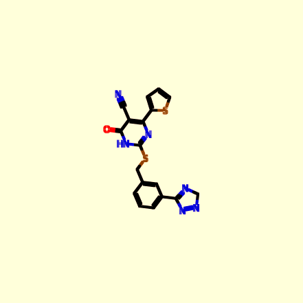 N#Cc1c(-c2cccs2)nc(SCc2cccc(C3=NCN=N3)c2)[nH]c1=O